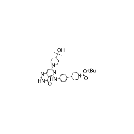 CC(C)(C)OC(=O)N1CCC(c2ccc(Nc3nc(N4CCC(C(C)(C)O)CC4)cc4nc[nH]c(=O)c34)cc2)CC1